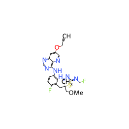 C#CCOc1cnc2c(Nc3ccc(F)c(C[C@](C)(COC)S/C(N)=N\CF)c3)ncnc2c1